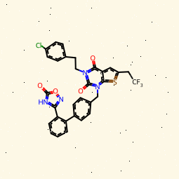 O=c1[nH]c(-c2ccccc2-c2ccc(Cn3c(=O)n(CCc4ccc(Cl)cc4)c(=O)c4cc(CC(F)(F)F)sc43)cc2)no1